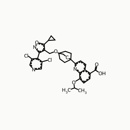 CC(C)Oc1ccc(C(=O)O)c2ccc(C34CCC(OCc5c(-c6c(Cl)cncc6Cl)noc5C5CC5)(CC3)CC4)nc12